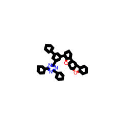 c1ccc(-c2cc(-c3nc(-c4ccccc4)nc(-c4ccccc4)n3)cc(-c3cccc4c3oc3cc5oc6ccccc6c5cc34)c2)cc1